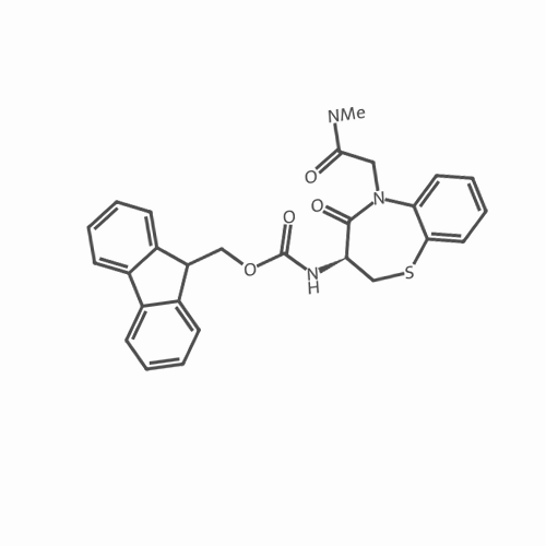 CNC(=O)CN1C(=O)[C@H](NC(=O)OCC2c3ccccc3-c3ccccc32)CSc2ccccc21